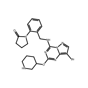 CC(C)c1cnn2c(NCc3ccccc3N3CCCC3=O)nc(OC3CCCNC3)nc12